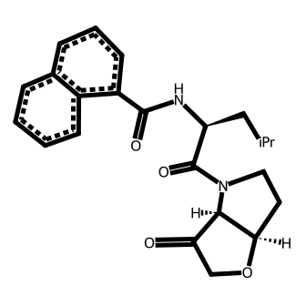 CC(C)C[C@H](NC(=O)c1cccc2ccccc12)C(=O)N1CC[C@H]2OCC(=O)[C@H]21